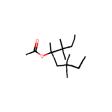 CCC(C)(C)CC(C)(OC(C)=O)C(C)(C)CC